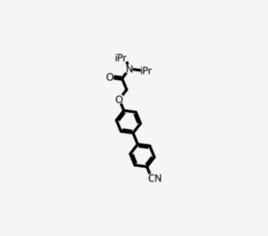 CC(C)N(C(=O)COc1ccc(-c2ccc(C#N)cc2)cc1)C(C)C